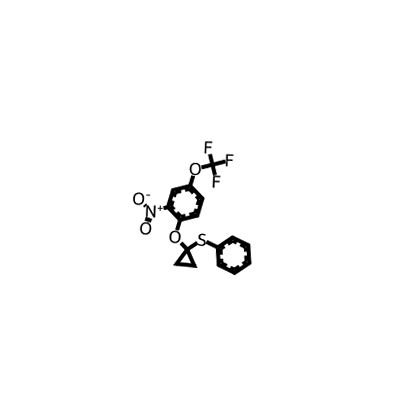 O=[N+]([O-])c1cc(OC(F)(F)F)ccc1OC1(Sc2ccccc2)CC1